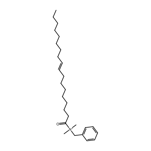 CCCCCCCCC=CCCCCCCCC(=O)[N+](C)(C)Cc1ccccc1